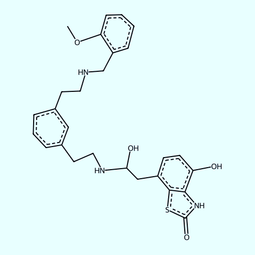 COc1ccccc1CNCCc1cccc(CCNC(O)Cc2ccc(O)c3[nH]c(=O)sc23)c1